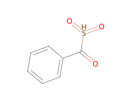 O=C(c1ccccc1)[SH](=O)=O